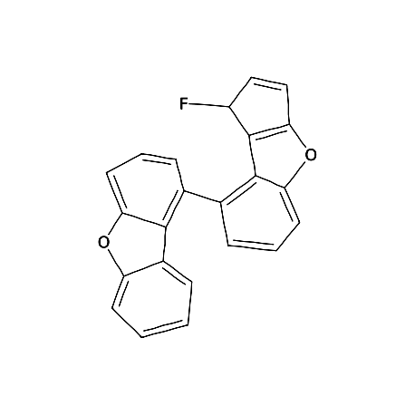 FC1C=Cc2oc3cccc(-c4cccc5oc6ccccc6c45)c3c21